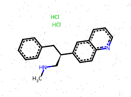 CNC[C@@H](Cc1ccccc1)c1ccc2ncccc2c1.Cl.Cl